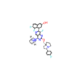 Oc1cc(-c2ncc3c(N4C[C@H]5CC[C@@H](C4)N5)nc(OCC45CCCN4C(c4ccc(F)cc4)CC5)nc3c2F)c2c(F)c(F)ccc2c1